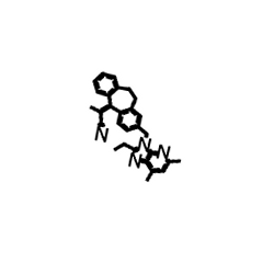 CCc1nc2c(C)cc(C)nc2n1Cc1ccc2c(c1)CCc1ccccc1C2=C(C)C#N